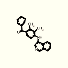 Cc1c(Nc2cncc3ccccc23)ccc(C(=O)c2ccccc2)c1C